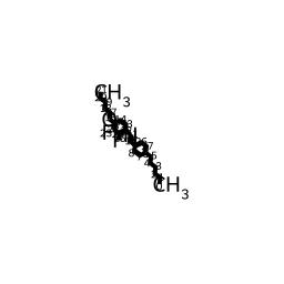 CCCCCCc1ccc(C=Nc2ccc(OCCCCC)c(F)c2F)cc1